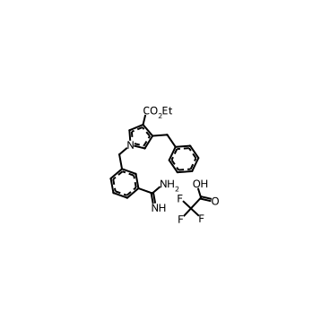 CCOC(=O)c1cn(Cc2cccc(C(=N)N)c2)cc1Cc1ccccc1.O=C(O)C(F)(F)F